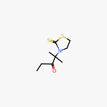 CCC(=O)C(C)(C)N1CCSC1=S